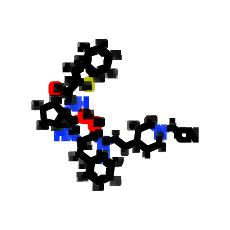 N#CCN1CCC(CCNC(=O)[C@@H](Cc2ccccc2)NC(=O)C2(NC(=O)c3cc4ccccc4s3)CCCC2)CC1